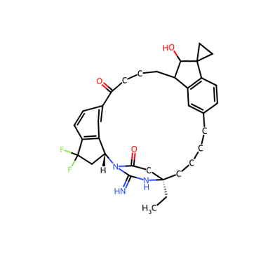 CC[C@]12CCCCc3ccc4c(c3)C(CCCC(=O)c3ccc5c(c3)[C@@H](CC5(F)F)N(C(=N)N1)C(=O)C2)C(O)C41CC1